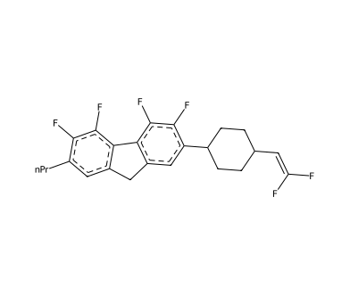 CCCc1cc2c(c(F)c1F)-c1c(cc(C3CCC(C=C(F)F)CC3)c(F)c1F)C2